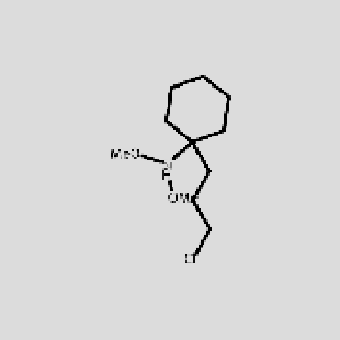 CO[SiH](OC)C1(CCCCl)CCCCC1